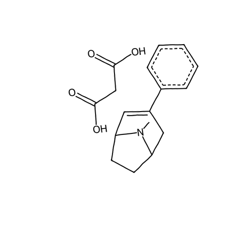 CN1C2C=C(c3ccccc3)CC1CC2.O=C(O)CC(=O)O